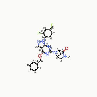 CN1CC2CC(C1=O)N2c1nc(OCc2ccccc2)c2cnn(-c3ccc(F)cc3F)c2n1